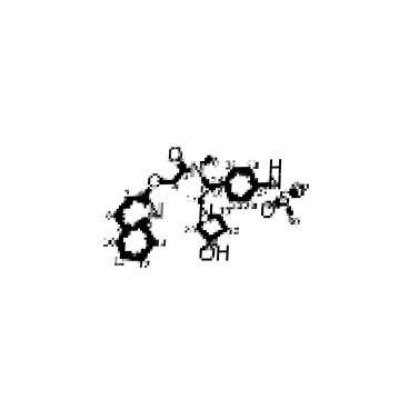 CN(C(=O)COc1ccc2ccccc2n1)[C@H](CN1CC[C@H](O)C1)c1ccc(NS(C)(=O)=O)cc1